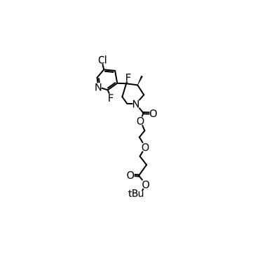 C[C@H]1CN(C(=O)OCCOCCC(=O)OC(C)(C)C)CC[C@]1(F)c1cc(Cl)cnc1F